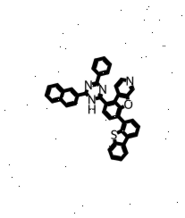 c1ccc(C2=NC(c3ccc4ccccc4c3)NC(c3ccc(-c4cccc5c4sc4ccccc45)c4oc5cnccc5c34)=N2)cc1